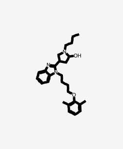 CCCCN1CC(c2nc3ccccc3n2CCCCOc2c(C)cccc2C)CC1O